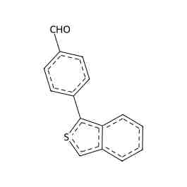 O=Cc1ccc(-c2scc3ccccc23)cc1